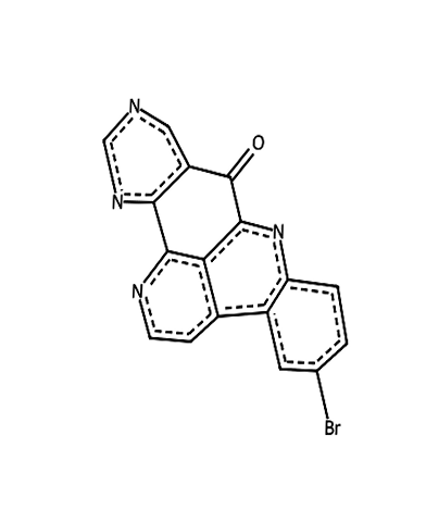 O=C1c2cncnc2-c2nccc3c2c1nc1ccc(Br)cc13